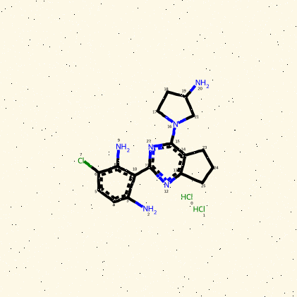 Cl.Cl.Nc1ccc(Cl)c(N)c1-c1nc2c(c(N3CCC(N)C3)n1)CCC2